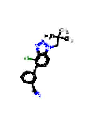 CC(C)(C)Cn1nnc2c(Cl)c(-c3cccc(C#N)c3)ccc21